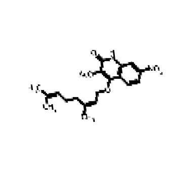 CC(=O)Oc1c(OCC=C(C)CCC=C(C)C)c2ccc([N+](=O)[O-])cc2[nH]c1=O